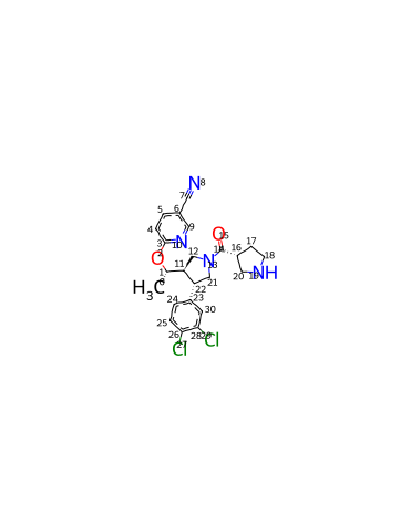 C[C@H](Oc1ccc(C#N)cn1)[C@H]1CN(C(=O)[C@@H]2CCNC2)C[C@@H]1c1ccc(Cl)c(Cl)c1